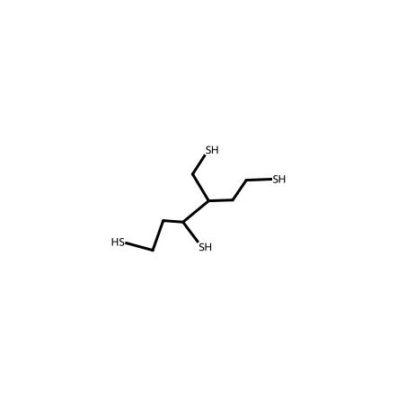 SCCC(S)C(CS)CCS